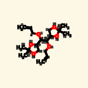 C=CCO[C@@H]([C@H](OCC=C)[C@H]1COC(C)(C)O1)[C@H]1COC(C)(C)O1